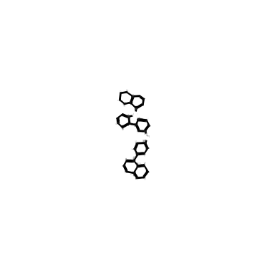 c1cc2c(c(-n3c4ccccc4c4cc(Nc5ccc(-c6cccc7ccccc67)cc5)ccc43)c1)CCCC2